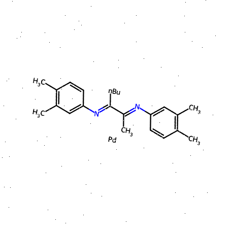 CCCCC(=N\c1ccc(C)c(C)c1)/C(C)=N/c1ccc(C)c(C)c1.[Pd]